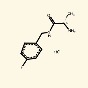 C[C@H](N)C(=O)NCc1ccc(F)cc1.Cl